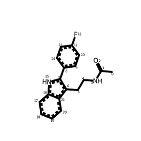 CC(=O)NCCc1c(-c2ccc(F)cc2)[nH]c2ccccc12